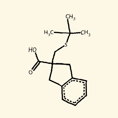 CC(C)(C)SCC1(C(=O)O)Cc2ccccc2C1